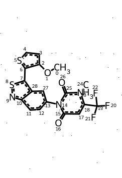 COc1ccsc1-c1snc2ccc(-n3c(=O)cc(C(F)(F)F)n(C)c3=O)cc12